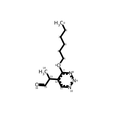 CCCCCCOc1nnncc1C(C)C=O